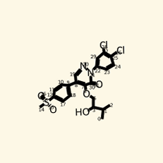 CC(C)C(O)COc1c(-c2ccc(S(C)(=O)=O)cc2)cnn(-c2ccc(Cl)c(Cl)c2)c1=O